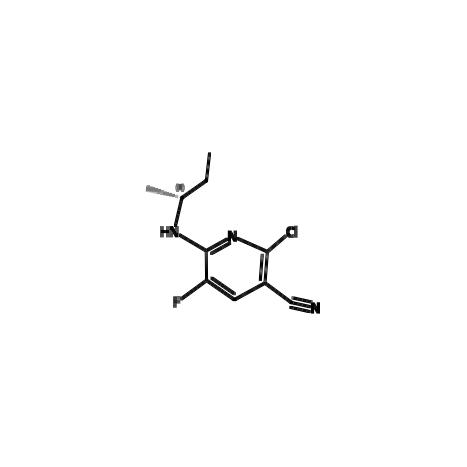 CC[C@@H](C)Nc1nc(Cl)c(C#N)cc1F